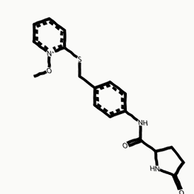 CO[n+]1ccccc1SCc1ccc(NC(=O)C2CCC(=O)N2)cc1